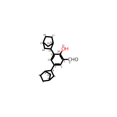 O=Cc1cc(C2CC3CCC2C3)cc(C2CC3CCC2C3)c1O